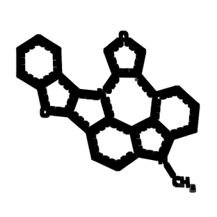 Cn1c2cccc3c4cocc4n4c5c6ccccc6oc5c5ccc1c(c32)c54